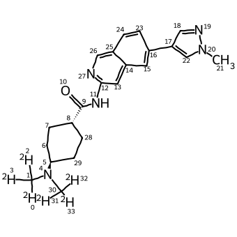 [2H]C([2H])([2H])N([C@H]1CC[C@H](C(=O)Nc2cc3cc(-c4cnn(C)c4)ccc3cn2)CC1)C([2H])([2H])[2H]